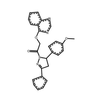 COc1ccc(C2CC(c3ccccc3)=NN2C(=O)COc2ncnc3ccccc23)cc1